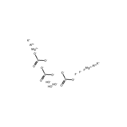 O=[Si]([O-])[O-].O=[Si]([O-])[O-].O=[Si]([O-])[O-].[Al+3].[Al+3].[F-].[F-].[F-].[K+].[K+].[Mg+2].[Mg+2].[OH-].[OH-].[OH-]